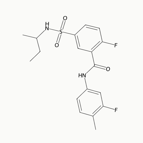 CCC(C)NS(=O)(=O)c1ccc(F)c(C(=O)Nc2ccc(C)c(F)c2)c1